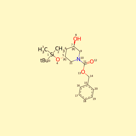 CC(C)(C)[Si](C)(C)O[C@@H]1C[C@@H](O)CN(C(=O)OCc2ccccc2)C1